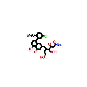 COc1ccc(Cl)cc1-c1ccc(O)c2c1CC(CC(CCO)C(CO)C(=O)CC(N)=O)CC2=O